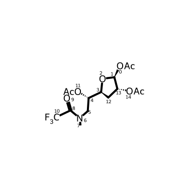 CC(=O)O[C@@H]1O[C@H]([C@H](CN(C)C(=O)C(F)(F)F)OC(C)=O)C[C@H]1OC(C)=O